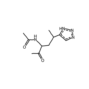 CC(=O)NC(CC(C)c1cnn[nH]1)C(C)=O